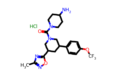 Cc1noc(C2CC(c3ccc(OC(F)(F)F)cc3)CN(C(=O)N3CCC(N)CC3)C2)n1.Cl